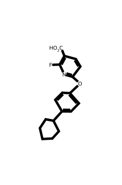 O=C(O)c1ccc(Oc2ccc(C3CCCCC3)cc2)nc1F